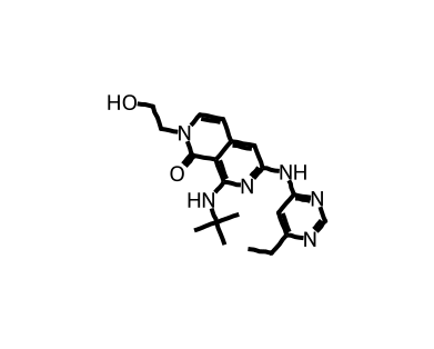 CCc1cc(Nc2cc3ccn(CCO)c(=O)c3c(NC(C)(C)C)n2)ncn1